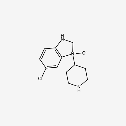 [O-][N+]1(C2CCNCC2)CNc2ccc(Cl)cc21